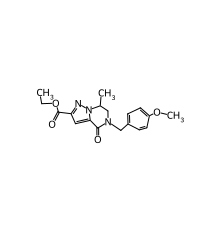 CCOC(=O)c1cc2n(n1)C(C)CN(Cc1ccc(OC)cc1)C2=O